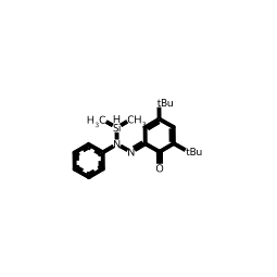 C[SiH](C)N(N=C1C=C(C(C)(C)C)C=C(C(C)(C)C)C1=O)c1ccccc1